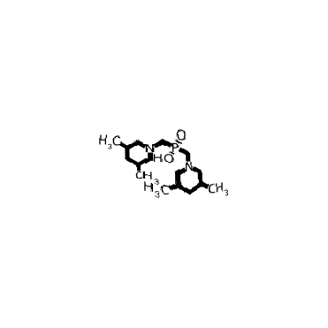 CC1CC(C)CN(CP(=O)(O)CN2CC(C)CC(C)C2)C1